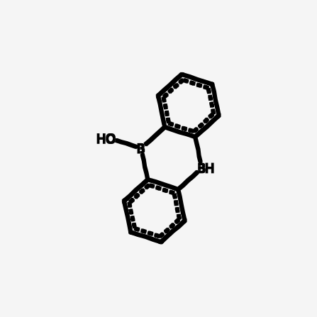 OB1c2ccccc2Bc2ccccc21